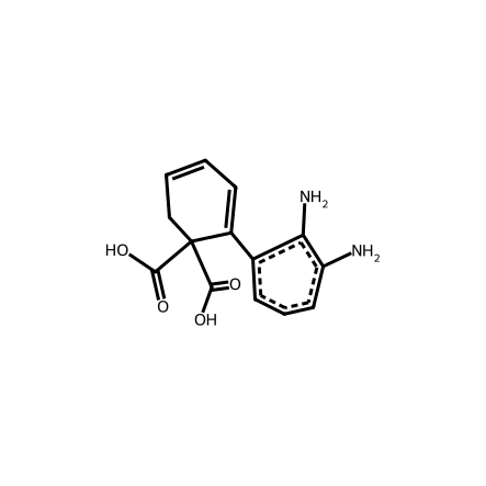 Nc1cccc(C2=CC=CCC2(C(=O)O)C(=O)O)c1N